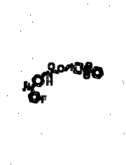 CN(C)C(c1cccc(F)c1)C1CCC(CNC(=O)COCCN2CCN(S(=O)(=O)c3ccccc3)CC2)CC1